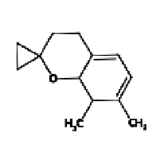 CC1=CC=C2CCC3(CC3)OC2C1C